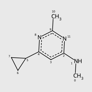 CNc1cc(C2CC2)nc(C)n1